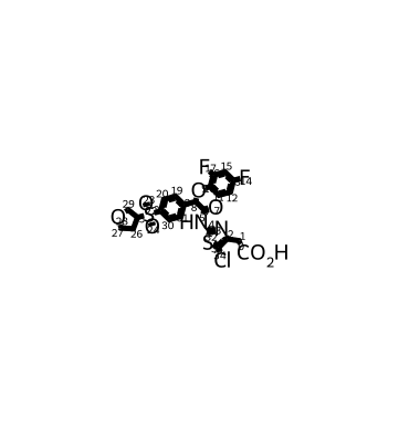 O=C(O)Cc1nc(NC(=O)C(Oc2ccc(F)cc2F)c2ccc(S(=O)(=O)C3CCOC3)cc2)sc1Cl